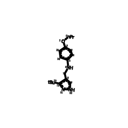 CCCOc1ccc(NCc2c[nH]nc2C(C)(C)C)cc1